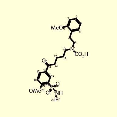 COc1ccccc1CCN(CCCCC(=O)c1ccc(OC)c(S(=O)(=O)NC(C)C)c1)C(=O)O